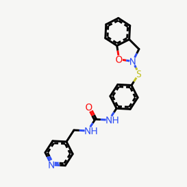 O=C(NCc1ccncc1)Nc1ccc(SN2Cc3ccccc3O2)cc1